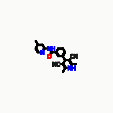 CC1=C(C#N)C(c2cccc(C(=O)Nc3cc(C)ccn3)c2)C(C#N)=C(C)N1